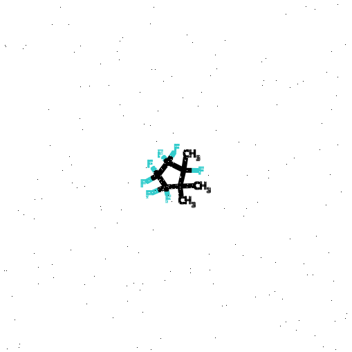 CC1(C)C(C)(F)C(F)(F)C(F)(F)C1(F)F